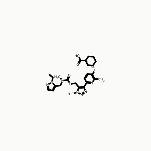 Cc1nc(-c2nnn(C)c2COC(=O)N(C)Cc2ccnn2CI)ccc1O[C@H]1CCC[C@H](C(=O)O)C1